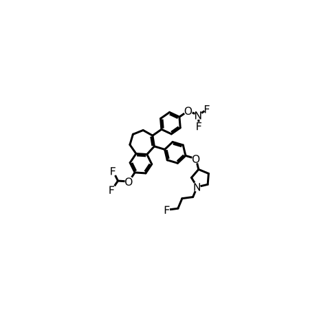 FCCCN1CCC(Oc2ccc(C3=C(c4ccc(ON(F)F)cc4)CCCc4cc(OC(F)F)ccc43)cc2)C1